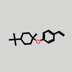 C=Cc1ccc(OC2(C)CCC(C(C)(C)C)CC2)cc1